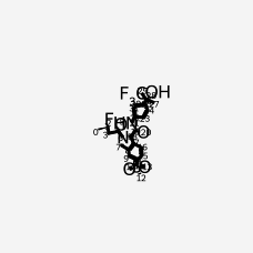 C[C@@H](F)CC(=O)N1Cc2cc(S(C)(=O)=O)ccc2C1C(=O)Nc1ccc(C(C)(O)C(F)(F)F)cc1